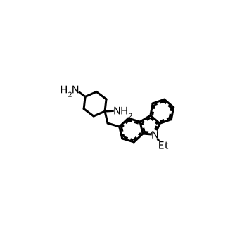 CCn1c2ccccc2c2cc(CC3(N)CCC(N)CC3)ccc21